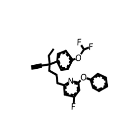 C#CC(CC)(CCCc1cc(F)cc(Oc2ccccc2)n1)c1ccc(OC(F)F)cc1